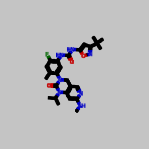 CNc1cc2c(cn1)CN(c1cc(NC(=O)Nc3cc(C(C)(C)C)no3)c(F)cc1C)C(=O)N2C(C)C